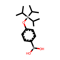 CC(C)[Si](Oc1ccc(B(O)O)cc1)(C(C)C)C(C)C